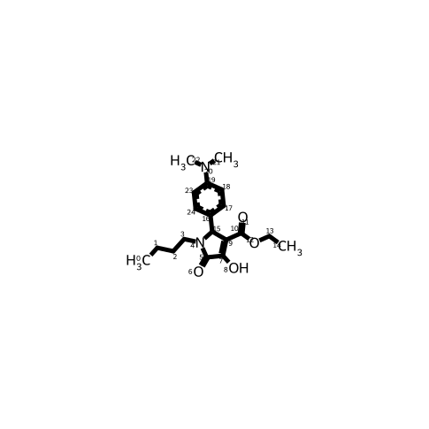 CCCCN1C(=O)C(O)=C(C(=O)OCC)C1c1ccc(N(C)C)cc1